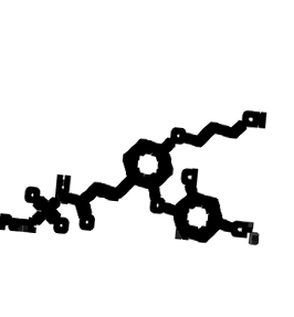 CCCCCS(=O)(=O)NC(=O)C=Cc1ccc(OCCCC#N)cc1Oc1ncc(C(F)(F)F)cc1Cl